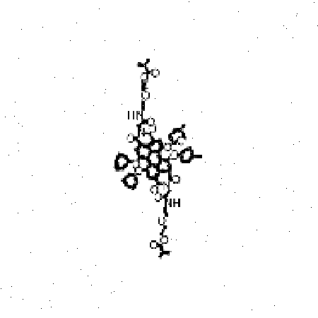 C=C(C)C(=O)OCCOCCNC(=O)CN1C(=O)c2cc(Oc3ccccc3)c3c4c(Oc5ccccc5)cc5c6c(cc(Oc7ccc(C)cc7)c(c7c(Oc8ccc(C)cc8)cc(c2c37)C1=O)c64)C(=O)N(CC(=O)NCCOCCOC(=O)C(=C)C)C5=O